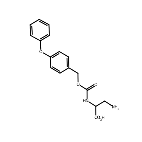 NCC(NC(=O)OCc1ccc(Oc2ccccc2)cc1)C(=O)O